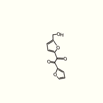 O=C(C(=O)c1ccc(CO)o1)c1ccco1